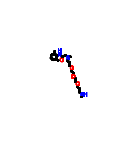 CNCCCOCCOCCOCCCN(C)CC(=O)Nc1c(C)cccc1C